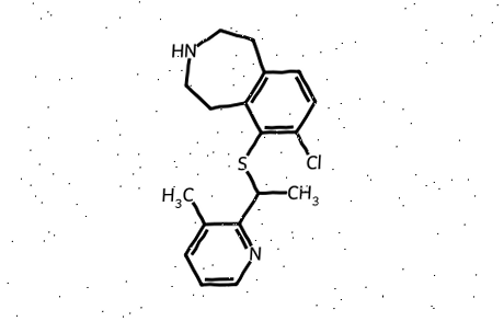 Cc1cccnc1C(C)Sc1c(Cl)ccc2c1CCNCC2